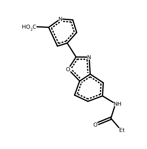 CCC(=O)Nc1ccc2oc(-c3ccnc(C(=O)O)c3)nc2c1